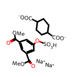 COC(=O)c1cc(OS(=O)(=O)O)cc(C(=O)OC)c1.O=C([O-])C1CCC(C(=O)[O-])CC1.[Na+].[Na+]